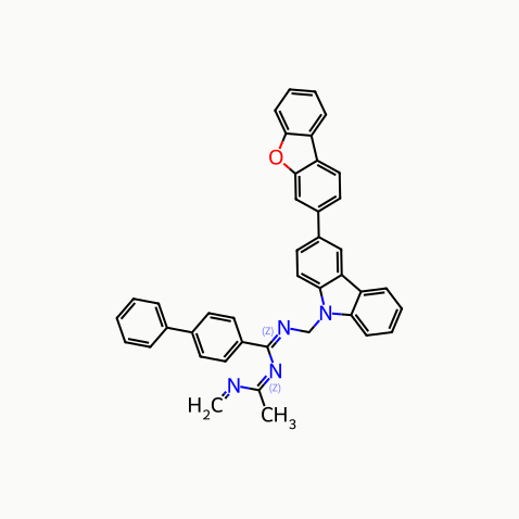 C=N/C(C)=N\C(=N/Cn1c2ccccc2c2cc(-c3ccc4c(c3)oc3ccccc34)ccc21)c1ccc(-c2ccccc2)cc1